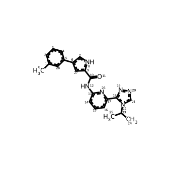 Cc1cccc(-c2c[nH]c(C(=O)Nc3cccc(-c4nncn4C(C)C)n3)c2)c1